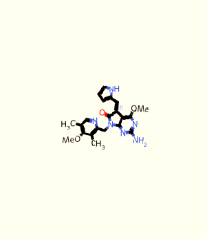 COc1nc(N)nc2c1/C(=C/c1ccc[nH]1)C(=O)N2Cc1ncc(C)c(OC)c1C